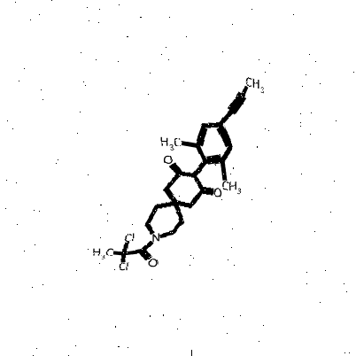 CC#Cc1cc(C)c(C2C(=O)CC3(CCN(C(=O)C(C)(Cl)Cl)CC3)CC2=O)c(C)c1